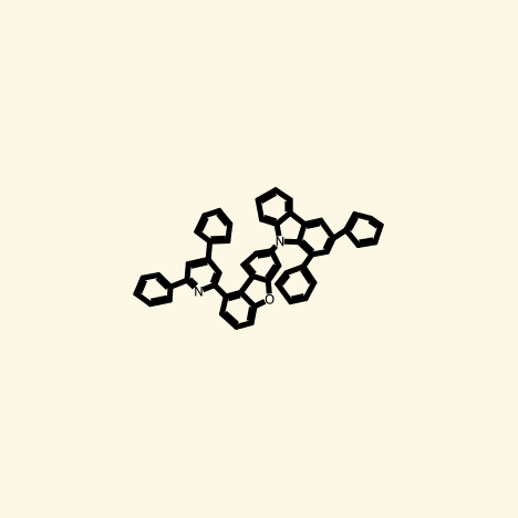 c1ccc(-c2cc(-c3ccccc3)nc(-c3cccc4oc5cc(-n6c7ccccc7c7cc(-c8ccccc8)cc(-c8ccccc8)c76)ccc5c34)c2)cc1